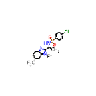 CCn1c(C(C)NS(=O)(=O)c2ccc(Cl)cc2)nc2ccc(C(F)(F)F)cc21